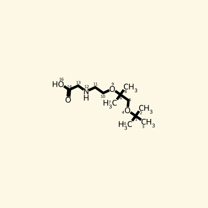 CC(C)(C)OCC(C)(C)OCCNCC(=O)O